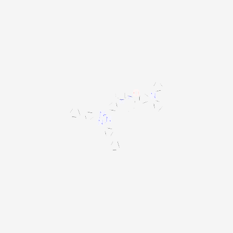 C=c1/c(=C\C=C(/C)c2ccc(-c3nc(-c4ccc(-c5ccccc5)cc4)nc(-c4ccc(-c5ccccc5)cc4)n3)cc2)oc2cc3c(cc12)c1ccccc1n3-c1ccccc1